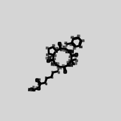 CCCCOC(=O)CCCCC[C@@H]1NC(=O)[C@H]2CCCN2C(=O)[C@H](Cc2ccccc2)NC(=O)C(C)(C)NC1=O